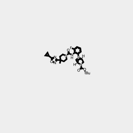 CC(C)(C)OC(=O)N1C[C@H]2C[C@@H]1CN2c1cccc(F)c1NC(=O)N1CCC(C)(c2noc(C3CC3)n2)CC1